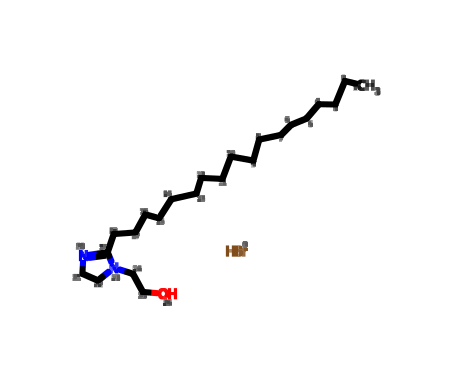 Br.CCCCCCCCCCCCCCCCCCC1=NCCN1CCO